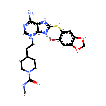 CC(C)NC(=O)N1CCC(CCn2cnc(N)c3nc(Sc4cc5c(cc4Br)OCO5)nc2-3)CC1